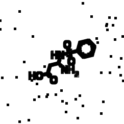 N[C@@H](CC(=O)O)NS(=O)(=O)c1ccccc1